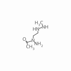 CNNCCN(N)C(C)=O